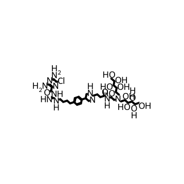 N=C(NCCCCc1ccc(C2CN=C(CCC(=O)NCCN(CC(O)C(O)C(O)C(O)CO)CC(O)C(O)C(O)C(O)CO)NC2)cc1)NC(=O)c1nc(Cl)c(N)nc1N